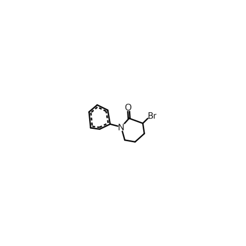 O=C1C(Br)CCCN1c1ccccc1